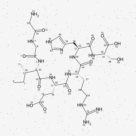 CC[C@H](C)[C@H](NC(=O)CNC(=O)CN)C(=O)N[C@@H](CCC(=O)O)C(=O)N[C@@H](CCCNC(=N)N)C(=O)N[C@@H](Cc1c[nH]cn1)C(=O)N[C@@H](CO)C(=O)O